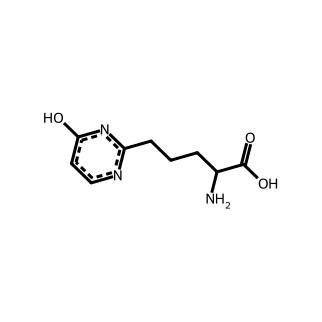 NC(CCCc1nccc(O)n1)C(=O)O